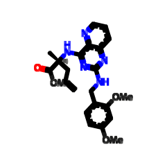 C=CC[C@@](C)(Nc1nc(NCc2ccc(OC)cc2OC)nc2cccnc12)C(=O)OC